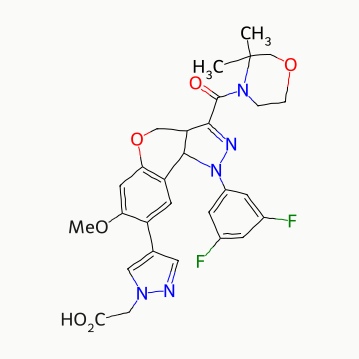 COc1cc2c(cc1-c1cnn(CC(=O)O)c1)C1C(CO2)C(C(=O)N2CCOCC2(C)C)=NN1c1cc(F)cc(F)c1